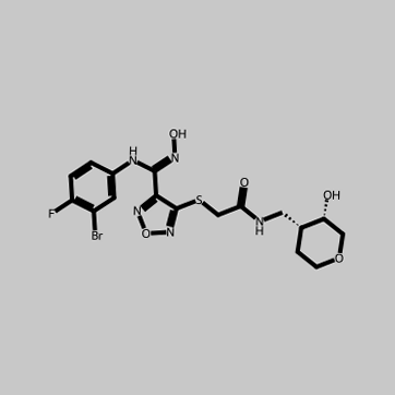 O=C(CSc1nonc1/C(=N/O)Nc1ccc(F)c(Br)c1)NC[C@H]1CCOC[C@H]1O